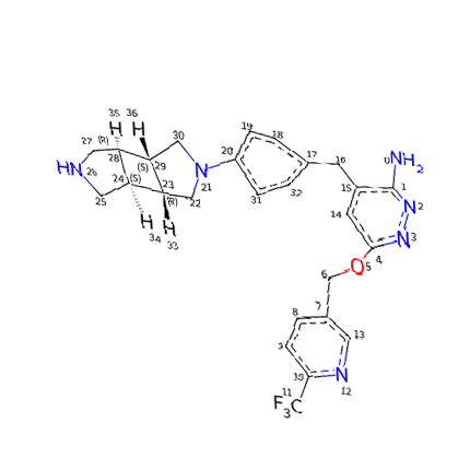 Nc1nnc(OCc2ccc(C(F)(F)F)nc2)cc1Cc1ccc(N2C[C@@H]3[C@H]4CNC[C@H]4[C@@H]3C2)cc1